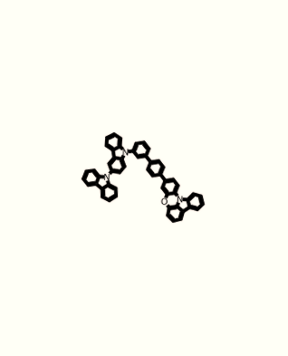 c1cc(-c2ccc(-c3ccc4c(c3)Oc3cccc5c6ccccc6n-4c35)cc2)cc(-n2c3ccccc3c3cc(-n4c5ccccc5c5ccccc54)ccc32)c1